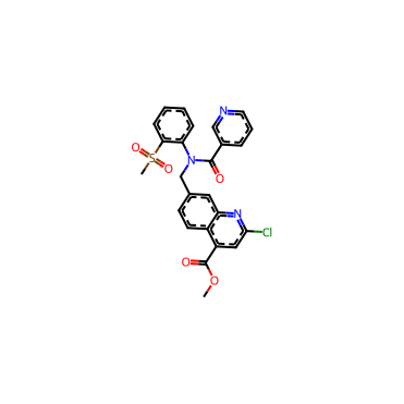 COC(=O)c1cc(Cl)nc2cc(CN(C(=O)c3cccnc3)c3ccccc3S(C)(=O)=O)ccc12